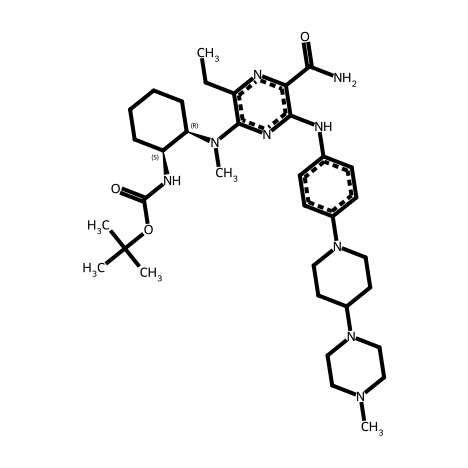 CCc1nc(C(N)=O)c(Nc2ccc(N3CCC(N4CCN(C)CC4)CC3)cc2)nc1N(C)[C@@H]1CCCC[C@@H]1NC(=O)OC(C)(C)C